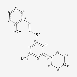 Oc1ccccc1C=CSc1cc(Br)cc(N2CCOCC2)c1